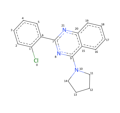 Clc1ccccc1-c1nc(N2CCCC2)c2ccccc2n1